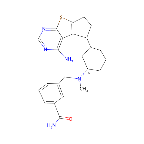 CN(Cc1cccc(C(N)=O)c1)[C@H]1CCCC(C2CCc3sc4ncnc(N)c4c32)C1